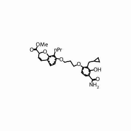 CCCc1c(OCCCOc2ccc(C(N)=O)c(O)c2CC2CC2)ccc2c1OC(C(=O)OC)C=C2